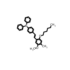 CCCCCCOc1cc(C)c(OC)cc1/C=C/c1ccc(N(c2ccccc2)c2ccccc2)cc1